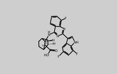 O=C(O)[C@H]1C2CCC(CC2)[C@@H]1Nc1nc(-c2c[nH]c3c(F)cc(F)cc23)nc2c(F)cccc12